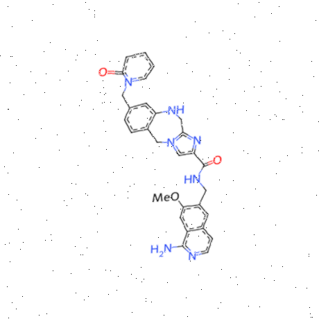 COc1cc2c(N)nccc2cc1CNC(=O)c1cn2c(n1)CNc1cc(Cn3ccccc3=O)ccc1C2